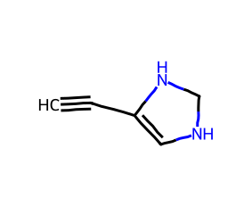 C#CC1=CNCN1